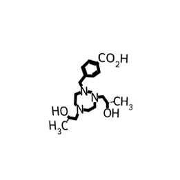 C[C@H](O)CN1CCN(Cc2ccc(C(=O)O)cc2)CN(C[C@H](C)O)CC1